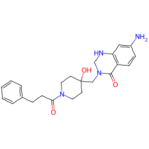 Nc1ccc2c(c1)NCN(CC1(O)CCN(C(=O)CCc3ccccc3)CC1)C2=O